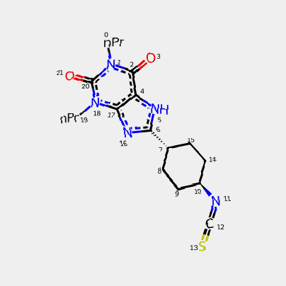 CCCn1c(=O)c2[nH]c([C@H]3CC[C@H](N=C=S)CC3)nc2n(CCC)c1=O